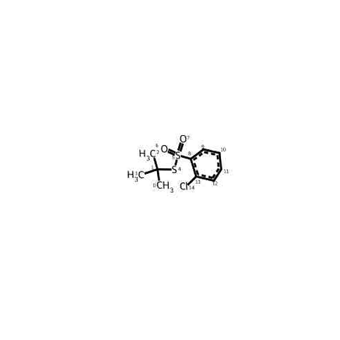 CC(C)(C)SS(=O)(=O)c1ccccc1Cl